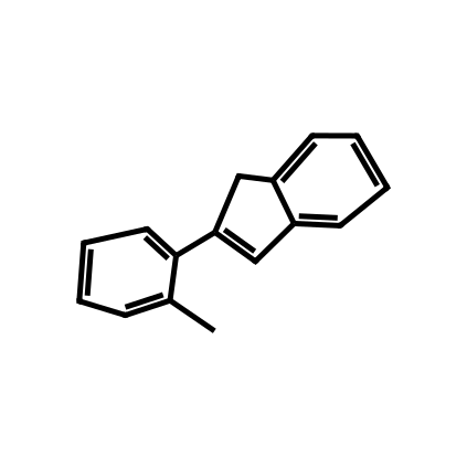 Cc1ccccc1C1=Cc2ccccc2C1